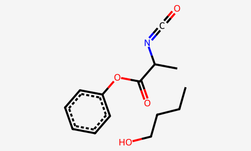 CC(N=C=O)C(=O)Oc1ccccc1.CCCCO